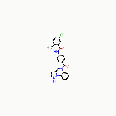 Cc1ccc(Cl)cc1C(=O)Nc1ccc(C(=O)N2C=C3C=CNN3c3ccccc32)cc1